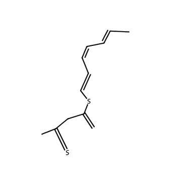 C=C(CC(C)=S)S/C=C/C=C\C=C\C